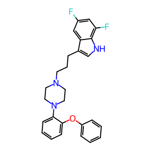 Fc1cc(F)c2[nH]cc(CCCN3CCN(c4ccccc4Oc4ccccc4)CC3)c2c1